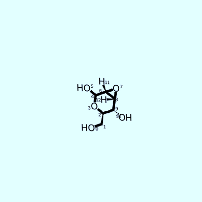 OC[C@H]1OC(O)[C@@H]2O[C@@H]2[C@@H]1O